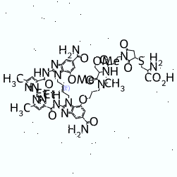 CCn1nc(C)cc1C(=O)Nc1nc2cc(C(N)=O)cc(OC)c2n1C/C=C/Cn1c(NC(=O)c2cc(C)nn2CC)nc2cc(C(N)=O)cc(OCCCN(C)C(=O)C(COC)NC(=O)CCN3C(=O)CC(SCC(N)C(=O)O)C3=O)c21